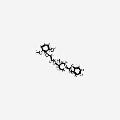 COc1cccc(OC)c1OCCNCC1CCN(c2nc3ccccc3s2)CC1